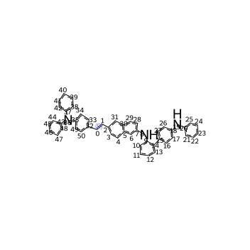 C(=C\c1ccc2cc(Nc3ccccc3-c3ccc(Nc4ccccc4)cc3)ccc2c1)/c1ccc(N(c2ccccc2)c2ccccc2)cc1